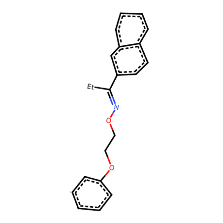 CC/C(=N\OCCOc1c[c]ccc1)c1ccc2ccccc2c1